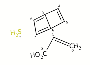 C=CC(=O)O.S.c1cc2ccc1-2